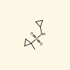 CC1(S(=O)(=O)NC2CC2)CC1